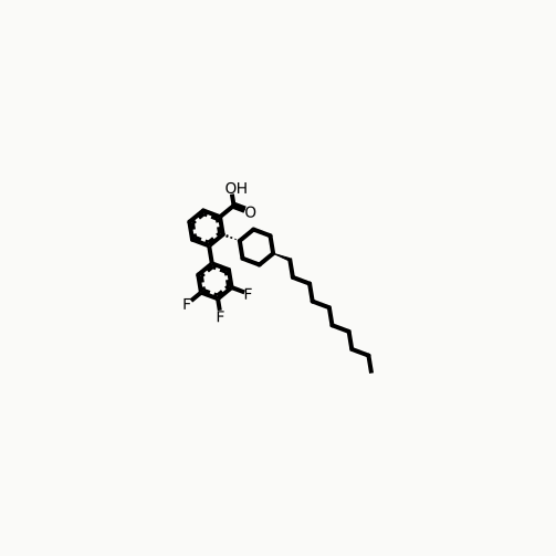 CCCCCCCCCC[C@H]1CC[C@H](c2c(C(=O)O)cccc2-c2cc(F)c(F)c(F)c2)CC1